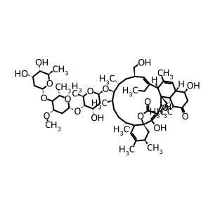 CC/C1=C\[C@H](CO)C[C@@H](C)[C@H](O[C@H]2C[C@H](O)[C@H](O[C@@H]3C[C@H](OC)C(O[C@@H]4C[C@H](O)[C@H](O)[C@@H](C)O4)[C@H](C)O3)[C@@H](C)O2)[C@H](C)CCC[C@]2(C)C=C(C)[C@H](C)C[C@]23OC(=O)C(=C3O)C(=O)[C@@]2(CC)[C@H]3[C@H](C=C(C)[C@@H]12)[C@@H](O)CC(=O)[C@@H]3C